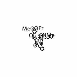 CNC(=O)[C@H](CCCc1ccccc1)NC(=O)C1CN(C(=O)c2cc3ccccc3cn2)CC2CN(C(=O)c3ccc(OC(C)C)c(OC)c3)CC21